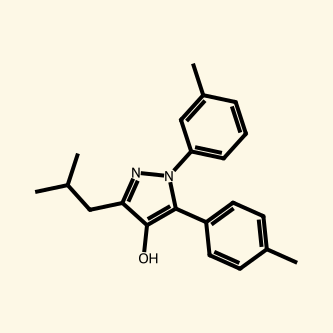 Cc1ccc(-c2c(O)c(CC(C)C)nn2-c2cccc(C)c2)cc1